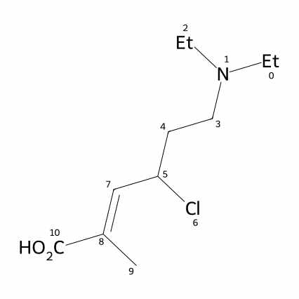 CCN(CC)CCC(Cl)C=C(C)C(=O)O